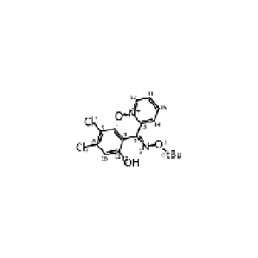 CC(C)(C)O/N=C(/c1cc(Cl)c(Cl)cc1O)c1cccc[n+]1[O-]